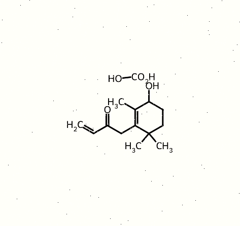 C=CC(=O)CC1=C(C)C(O)CCC1(C)C.O=C(O)O